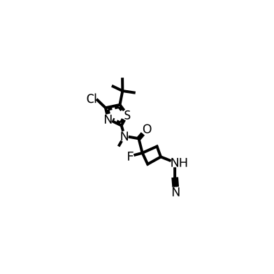 CN(C(=O)C1(F)CC(NC#N)C1)c1nc(Cl)c(C(C)(C)C)s1